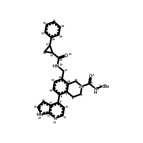 CC(C)(C)NC(=O)N1CCc2c(-c3ccnc4[nH]ccc34)ccc(CNC(=O)C3CC3c3ccccc3)c2C1